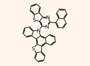 c1ccc2c(-c3nc(-n4c5ccccc5c5c6sc7ccccc7c6c6ccccc6c54)c4sc5ccccc5c4n3)cccc2c1